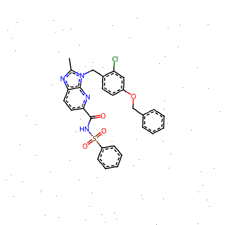 Cc1nc2ccc(C(=O)NS(=O)(=O)c3ccccc3)nc2n1Cc1ccc(OCc2ccccc2)cc1Cl